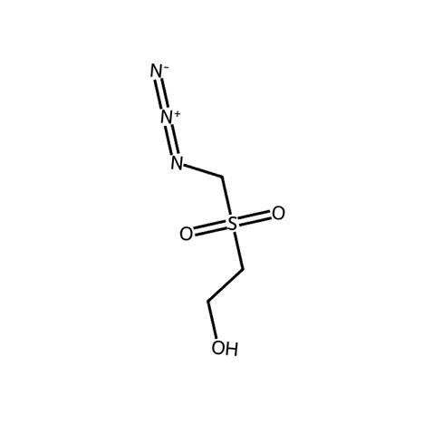 [N-]=[N+]=NCS(=O)(=O)CCO